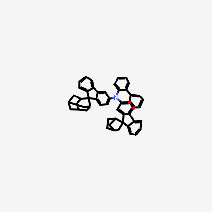 c1ccc(-c2ccccc2N(c2ccc3c(c2)-c2ccccc2C32C3CC4CC(C3)CC2C4)c2ccc3c(c2)C2(CC4CCC2C4)c2ccccc2-3)cc1